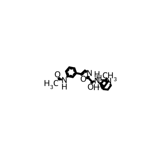 CC(=O)Nc1cccc(-c2cnc(C(=O)N[C@@H]3C4CCN(CC4)[C@H]3C)o2)c1